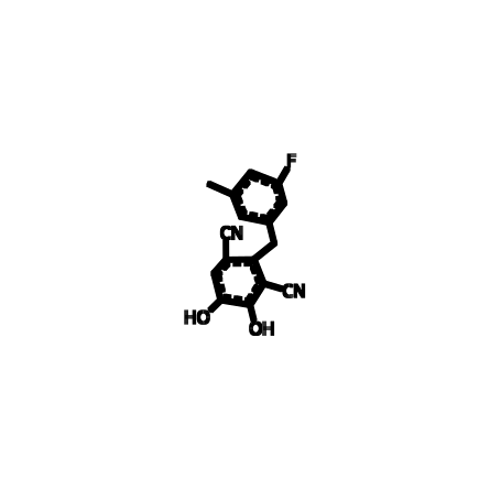 Cc1cc(F)cc(Cc2c(C#N)cc(O)c(O)c2C#N)c1